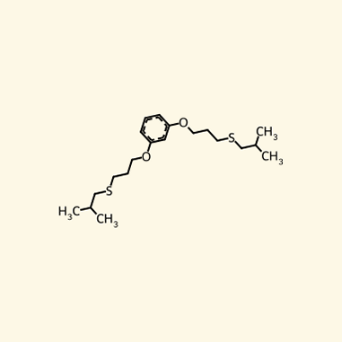 CC(C)CSCCCOc1cccc(OCCCSCC(C)C)c1